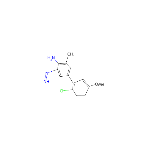 COc1ccc(Cl)c(-c2cc(C)c(N)c(N=N)c2)c1